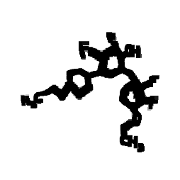 CCCC1CCC(c2cc(Cc3ccc(OCC)c(F)c3F)c(O)c(F)c2F)CC1